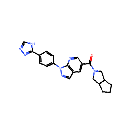 O=C(c1cnc2c(cnn2-c2ccc(-c3nnc[nH]3)cc2)c1)N1CC2CCCC2C1